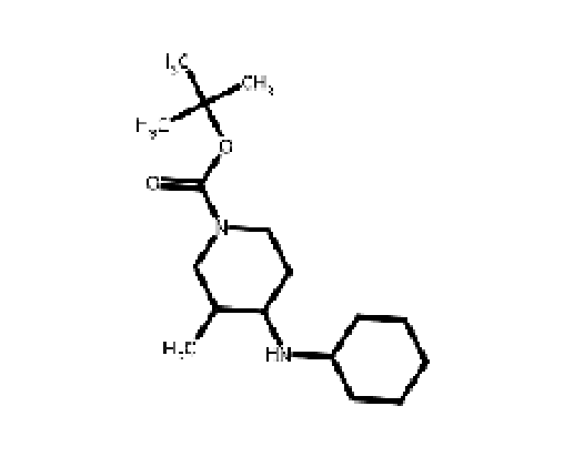 CC1CN(C(=O)OC(C)(C)C)CCC1NC1CCCCC1